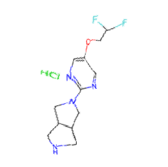 Cl.FC(F)COc1cnc(N2CC3CNCC3C2)nc1